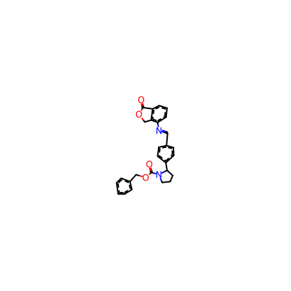 O=C1OCc2c(/N=C/c3ccc(C4CCCN4C(=O)OCc4ccccc4)cc3)cccc21